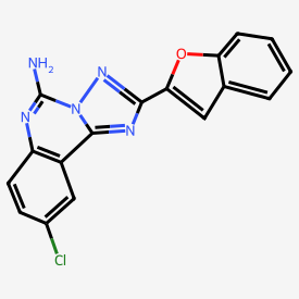 Nc1nc2ccc(Cl)cc2c2nc(-c3cc4ccccc4o3)nn12